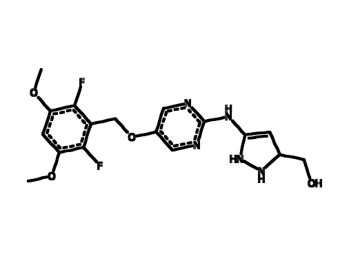 COc1cc(OC)c(F)c(COc2cnc(NC3=CC(CO)NN3)nc2)c1F